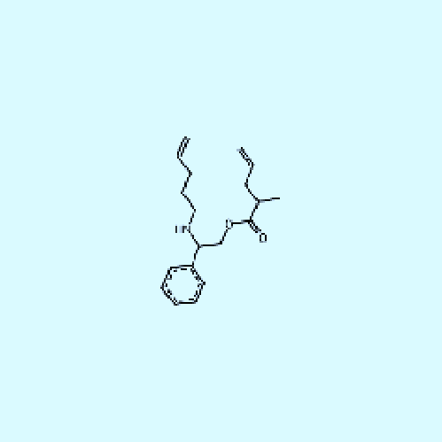 C=CCCCNC(COC(=O)C(C)CC=C)c1ccccc1